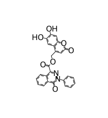 O=C(OCc1cc(=O)oc2cc(O)c(O)cc12)c1nn(-c2ccccc2)c(=O)c2ccccc12